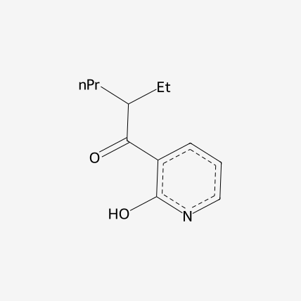 CCCC(CC)C(=O)c1cccnc1O